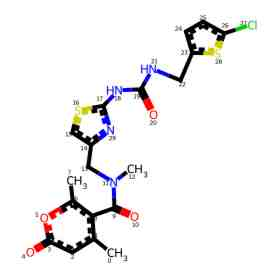 Cc1cc(=O)oc(C)c1C(=O)N(C)Cc1csc(NC(=O)NCc2ccc(Cl)s2)n1